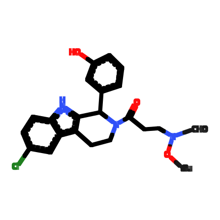 CC(C)(C)ON(C=O)CCC(=O)N1CCc2c([nH]c3ccc(Cl)cc23)C1c1cccc(O)c1